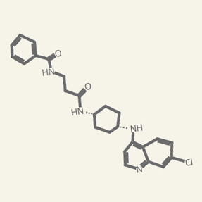 O=C(CCNC(=O)c1ccccc1)N[C@H]1CC[C@@H](Nc2ccnc3cc(Cl)ccc23)CC1